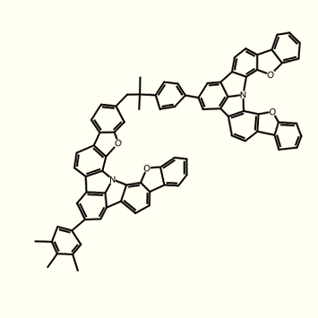 Cc1cc(-c2cc3c4ccc5c6ccccc6oc5c4n4c3c(c2)c2ccc3c5ccc(CC(C)(C)c6ccc(-c7cc8c9ccc%10c%11ccccc%11oc%10c9n9c8c(c7)c7ccc8c%10ccccc%10oc8c79)cc6)cc5oc3c24)cc(C)c1C